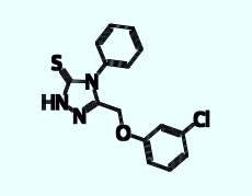 S=c1[nH]nc(COc2cccc(Cl)c2)n1-c1ccccc1